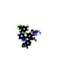 CCc1cccc(CC)c1-n1nc2c(c1-c1cc(F)c(NC(N)=O)cc1F)CN(Cc1ccc(F)cc1C(F)(F)F)CC2